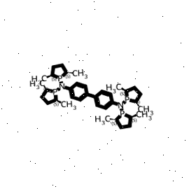 C[C@H]1CC[C@H](C)P1N(c1ccc(-c2ccc(N(P3[C@@H](C)CC[C@@H]3C)P3[C@@H](C)CC[C@@H]3C)cc2)cc1)P1[C@@H](C)CC[C@@H]1C